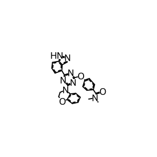 CN(C)C(=O)c1ccc(Oc2nc(-c3cccc4[nH]ncc34)nc(N3CCOc4ccccc43)n2)cc1